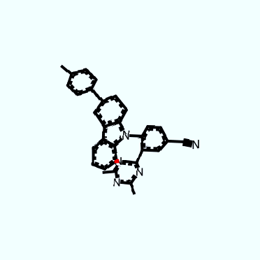 Cc1ccc(-c2ccc3c(c2)c2ccccc2n3-c2ccc(C#N)cc2-c2nc(C)nc(C)n2)cc1